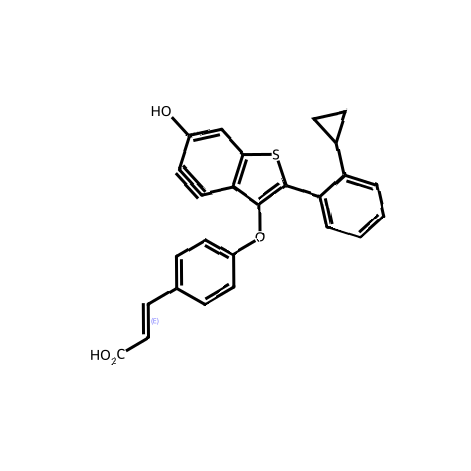 O=C(O)/C=C/c1ccc(Oc2c(-c3ccccc3C3CC3)sc3cc(O)c#cc23)cc1